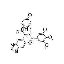 COc1cccc(C/C(C(=O)c2cc(OC)c(OC)c(OC)c2)=C(\C(=O)O)c2ccc3nsnc3c2)c1